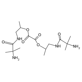 CC(CNC(=O)C(C)(C)N)OC(=O)C(=O)OC(C)CNC(=O)C(C)(C)N